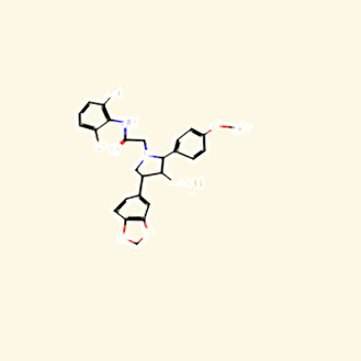 CCCOc1ccc(C2C(C(=O)O)C(c3ccc4c(c3)OCO4)CN2CC(=O)Nc2c(CC)cccc2CC)cc1